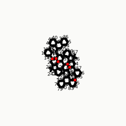 Cc1cc(-c2ccc(N(c3c(C)cccc3-c3ccc4c(c3)C(C)(C)c3ccccc3-4)c3cc4ccccc4c4ccccc34)c(C)c2)ccc1N(c1c(C)cccc1-c1ccc2c(c1)C(C)(C)c1ccccc1-2)c1cc2ccccc2c2ccccc12